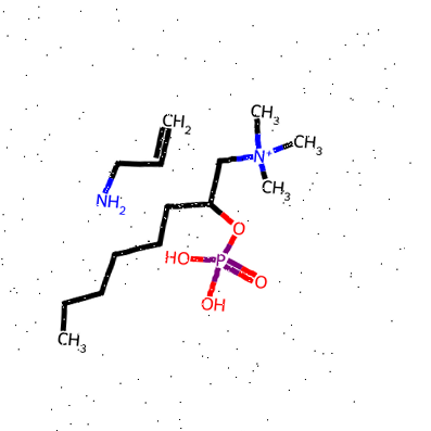 C=CCN.CCCCCCC(C[N+](C)(C)C)OP(=O)(O)O